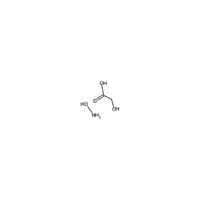 NO.O=C(O)CO